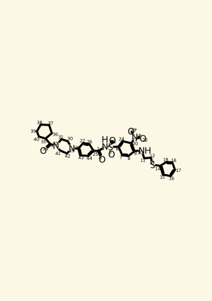 O=C(NS(=O)(=O)c1ccc(NCCSc2ccccc2)c([N+](=O)[O-])c1)c1ccc(N2CCN(C(=O)C3CCCCC3)CC2)cc1